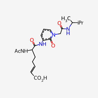 CC(=O)NC(CCC=CC(=O)O)C(=O)Nc1cccn(CC(=O)NC(C)C(C)C)c1=O